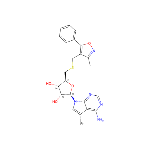 Cc1noc(-c2ccccc2)c1CSC[C@H]1O[C@@H](n2cc(C(C)C)c3c(N)ncnc32)[C@H](O)[C@@H]1O